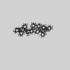 c1ccc(N(c2ccc3c(c2)C2(c4ccccc4-c4ccccc42)c2cc4cc(N(c5ccccc5)c5cccc6c5oc5ccccc56)ccc4cc2-3)c2cccc3c2oc2ccccc23)cc1